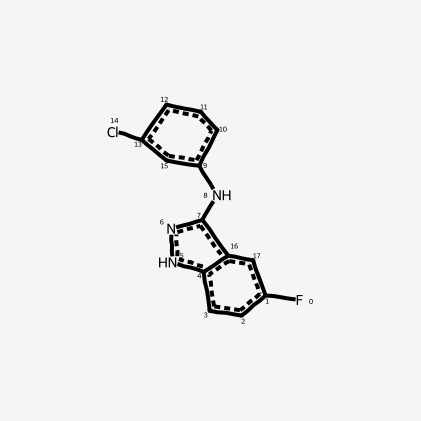 Fc1ccc2[nH]nc(Nc3cccc(Cl)c3)c2c1